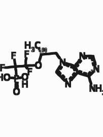 C[C@H](Cn1cnc2c(N)ncnc21)OC(F)(F)C(F)(F)P(=O)(O)O